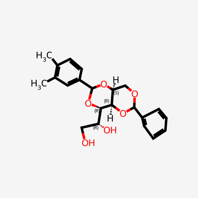 Cc1ccc(C2O[C@H]([C@H](O)CO)[C@@H]3OC(c4ccccc4)OC[C@@H]3O2)cc1C